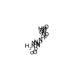 Nc1ncnc2c1c(-c1ccc(Oc3ccccc3)cc1)nn2C1CCCN(Cc2cc(F)c3c(c2)C(=O)N(C2CCC(=O)NC2=O)C3=O)C1